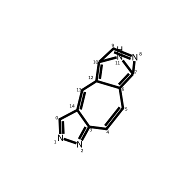 c1nnc2ccc3c4ncc([nH]4)c3cc1-2